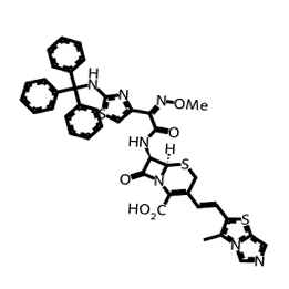 CO/N=C(\C(=O)N[C@@H]1C(=O)N2C(C(=O)O)=C(/C=C/c3sc4cncn4c3C)CS[C@H]12)c1csc(NC(c2ccccc2)(c2ccccc2)c2ccccc2)n1